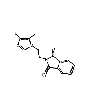 Cc1c(I)ncn1CCN1C(=O)c2ccccc2C1=O